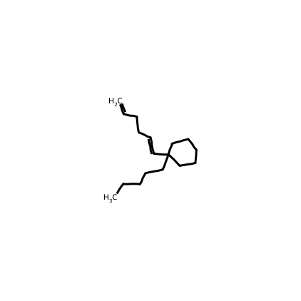 C=CCCC=CC1(CCCCC)CCCCC1